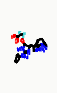 O=C(O)C(F)(F)F.O=C1NC(NC2CC3CCC2C3)=NC1=Cc1c[nH]c2ncccc12